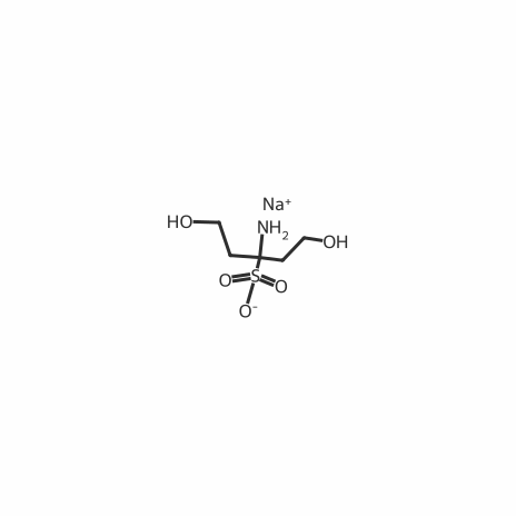 NC(CCO)(CCO)S(=O)(=O)[O-].[Na+]